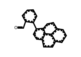 O=Cc1ccccc1-c1ccc2ccc3cccc4ccc1c2c34